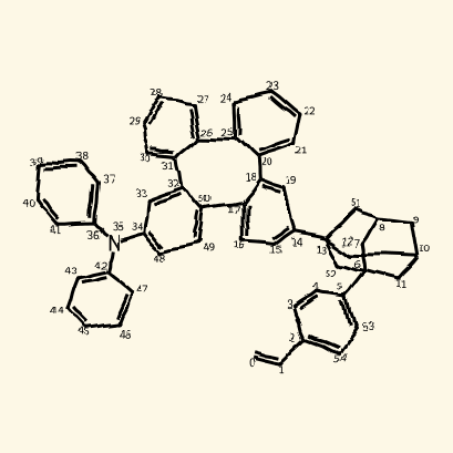 C=Cc1ccc(C23CC4CC(C2)CC(c2ccc5c(c2)-c2ccccc2-c2ccccc2-c2cc(N(c6ccccc6)c6ccccc6)ccc2-5)(C4)C3)cc1